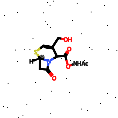 CC(=O)NOC(=O)C1C(CO)=CS[C@H]2CC(=O)N12